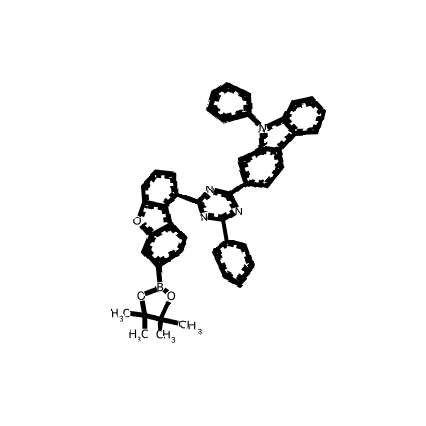 CC1(C)OB(c2ccc3c(c2)oc2cccc(-c4nc(-c5ccccc5)nc(-c5ccc6c7ccccc7n(-c7ccccc7)c6c5)n4)c23)OC1(C)C